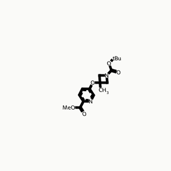 COC(=O)c1ccc(OC2(C)CN(C(=O)OC(C)(C)C)C2)cn1